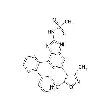 Cc1noc(C)c1-c1cc(-c2cccnc2-c2ccccc2)c2nc(NS(C)(=O)=O)[nH]c2c1